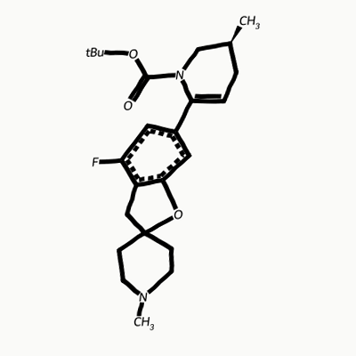 C[C@H]1CC=C(c2cc(F)c3c(c2)OC2(CCN(C)CC2)C3)N(C(=O)OC(C)(C)C)C1